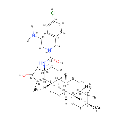 CC(=O)O[C@H]1CC[C@]2(C)[C@H]3CC[C@@H]4C5=C(C(C)C)C(=O)C[C@]5(NC(=O)N(CCN(C)C)Cc5ccc(Cl)cc5)CC[C@@]4(C)[C@]3(C)CC[C@H]2C1(C)C